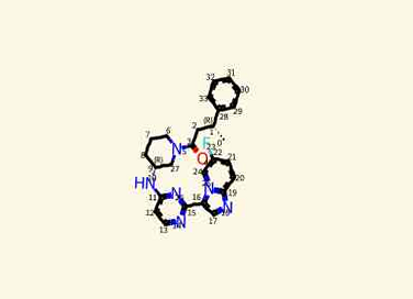 C[C@H](CC(=O)N1CCC[C@@H](Nc2ccnc(-c3cnc4ccc(F)cn34)n2)C1)c1ccccc1